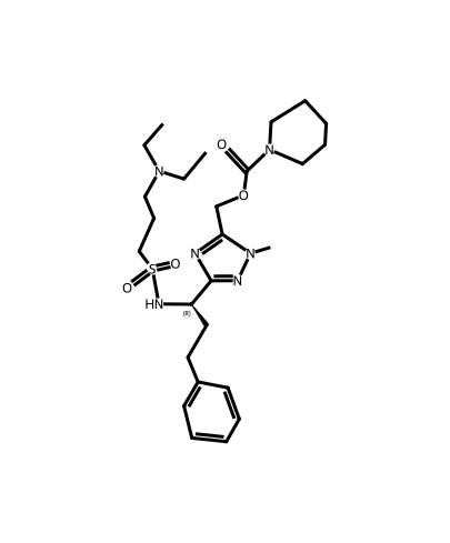 CCN(CC)CCCS(=O)(=O)N[C@H](CCc1ccccc1)c1nc(COC(=O)N2CCCCC2)n(C)n1